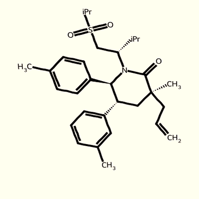 C=CC[C@@]1(C)C[C@H](c2cccc(C)c2)[C@@H](c2ccc(C)cc2)N([C@H](CS(=O)(=O)C(C)C)C(C)C)C1=O